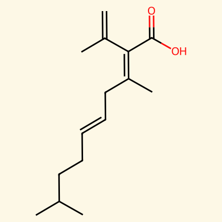 C=C(C)C(C(=O)O)=C(C)CC=CCCC(C)C